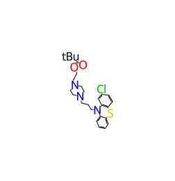 CC(C)(C)C(=O)OCCN1CCN(CCCN2c3ccccc3Sc3ccc(Cl)cc32)CC1